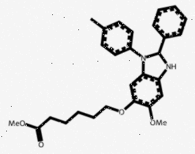 COC(=O)CCCCCOc1cc2c(cc1OC)NC(c1ccccc1)N2c1ccc(C)cc1